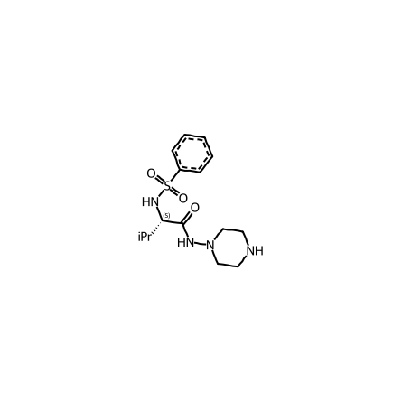 CC(C)[C@H](NS(=O)(=O)c1ccccc1)C(=O)NN1CCNCC1